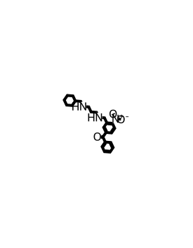 O=C(c1ccccc1)c1ccc([N+](=O)[O-])c(CNCCCNCC2CCCCC2)c1